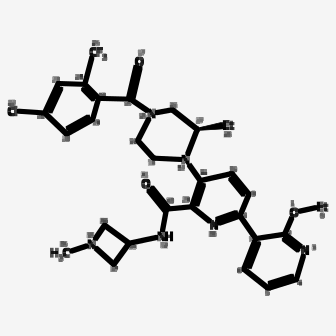 CCOc1ncccc1-c1ccc(N2CCN(C(=O)c3ccc(Cl)cc3C(F)(F)F)C[C@H]2CC)c(C(=O)NC2CN(C)C2)n1